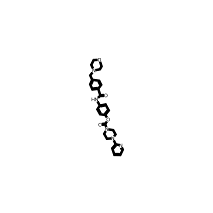 O=C(Nc1ccc(OC(=O)N2CCN(c3ccccn3)CC2)cc1)c1ccc(CN2CCOCC2)cc1